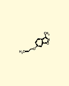 C=CCOc1ccc2c(C)noc2c1